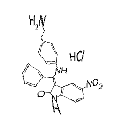 Cl.NCCc1ccc(NC(=C2C(=O)Nc3ccc([N+](=O)[O-])cc32)c2ccccc2)cc1